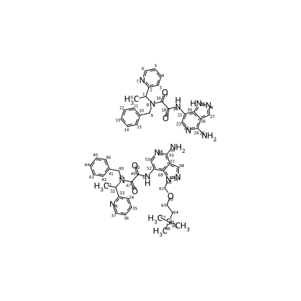 CC(c1ccccn1)N(Cc1ccccc1)C(=O)C(=O)Nc1cnc(N)c2cn[nH]c12.CC(c1ccccn1)N(Cc1ccccc1)C(=O)C(=O)Nc1cnc(N)c2cnn(COCC[Si](C)(C)C)c12